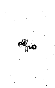 O=C(O)C1(CCNCCc2ccccc2)CCCO1